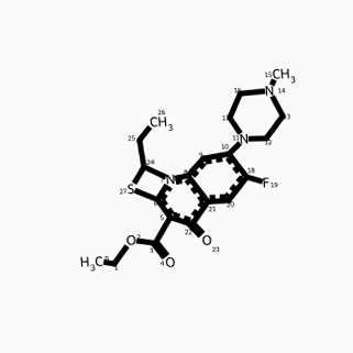 CCOC(=O)c1c2n(c3cc(N4CCN(C)CC4)c(F)cc3c1=O)C(CC)S2